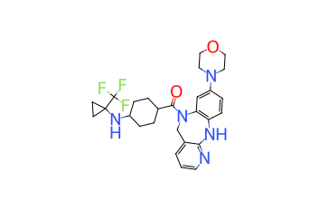 O=C(C1CCC(NC2(C(F)(F)F)CC2)CC1)N1Cc2cccnc2Nc2ccc(N3CCOCC3)cc21